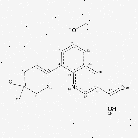 COc1cc(C2=CCC(C)(C)CC2)c2ncc(C(=O)O)cc2c1